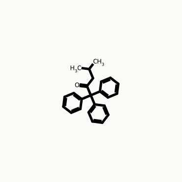 CC(C)CC(=O)C(c1ccccc1)(c1ccccc1)c1ccccc1